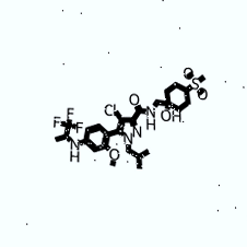 COc1cc(NC(C)C(F)(F)F)ccc1-c1c(Cl)c(C(=O)NCC2(O)CCC(S(C)(=O)=O)CC2)nn1CC(C)C